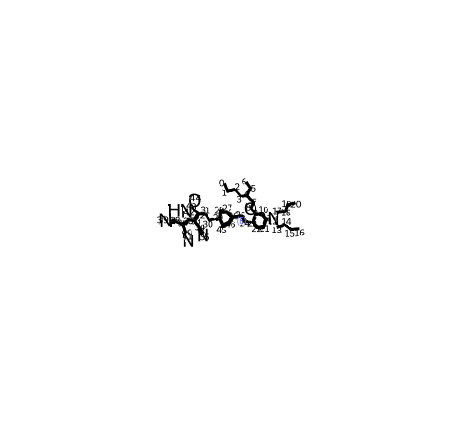 CCCCC(CC)COc1cc(N(CCCC)CCCC)ccc1/C=C/c1ccc(CCC2=C(C#N)C(=C(C#N)C#N)NC2=O)cc1